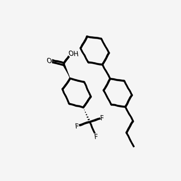 CCCC1CCC(C2CCCCC2)CC1.O=C(O)[C@H]1CC[C@H](C(F)(F)F)CC1